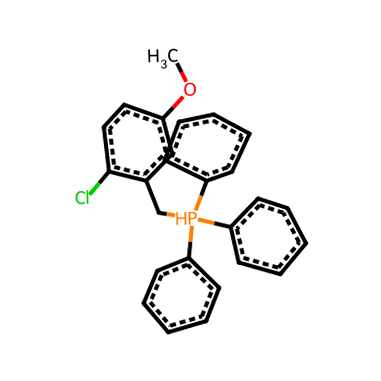 COc1ccc(Cl)c(C[PH](c2ccccc2)(c2ccccc2)c2ccccc2)c1